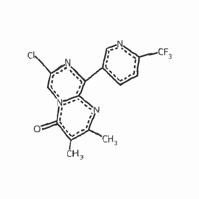 Cc1nc2c(-c3ccc(C(F)(F)F)nc3)nc(Cl)cn2c(=O)c1C